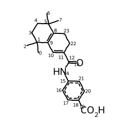 CC1(C)CCC(C)(C)C2=C1C=C(C(=O)Nc1ccc(C(=O)O)cc1)CC2